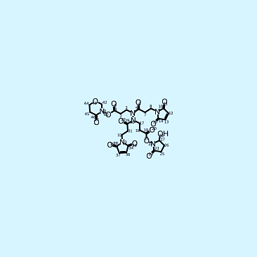 O=C(CCN(C(=O)CCN1C(=O)C=CC1=O)N(CCC(=O)ON1C(=O)CCC1O)C(=O)CCN1C(=O)C=CC1=O)ON1COCCC1=O